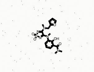 CN(C)C(=O)c1cccc(N(C)C2=NS(=O)(=O)N=C2N(C)Cc2ccco2)c1O